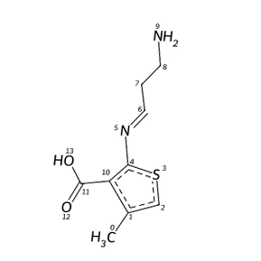 Cc1csc(N=CCCN)c1C(=O)O